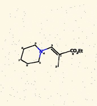 CCOC(=O)C(C)=CN1CCCCC1